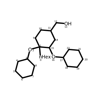 CCCCCCC1(OC2CCCCC2)CCC(CO)CC1OC1CCCCC1